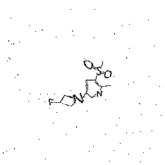 Cc1ncc(N2CC(F)C2)cc1S(C)(=O)=O